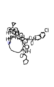 O=C(CC1CCCC1)N[C@H]1CCCCC/C=C/[C@@H]2C[C@@]2(C(=O)NS(=O)(=O)C2CC2)NC(=O)[C@@H]2C[C@@H](OC(=O)N3Cc4ccc(Cl)cc4C3)CN2C1=O